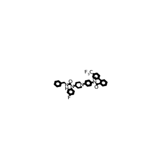 O=C(Nc1ccc(N2CCC(N(C(=O)NCc3ccccc3)c3ccc(F)cc3)CC2)cc1)c1ccccc1-c1ccc(C(F)(F)F)cc1